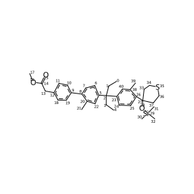 CCC(CC)(c1ccc(-c2ccc(CC(=O)OC)cc2)c(C)c1)c1ccc(C2(O[Si](C)(C)C)CCSCC2)c(C)c1